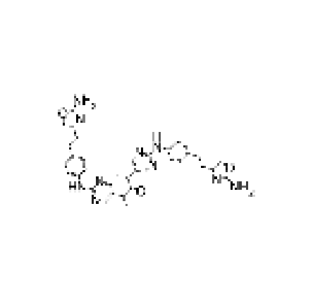 CC(C(=O)C(C)c1cnc(Nc2ccc(CC[C@H]3COC(N)=N3)cc2)nc1)c1cnc(Nc2ccc(CC[C@H]3COC(N)=N3)cc2)nc1